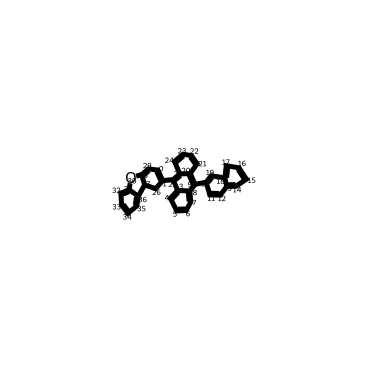 C1=C(c2c3ccccc3c(-c3ccc4ccccc4c3)c3ccccc23)CC2C(=C1)Oc1ccccc12